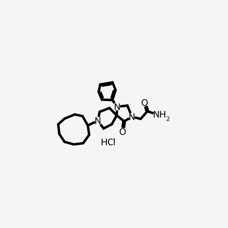 Cl.NC(=O)CN1CN(c2ccccc2)C2(CCN(C3CCCCCCCCC3)CC2)C1=O